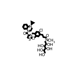 CN(C[C@H](O)[C@@H](O)[C@@H](O)[C@H](O)CO)C(=O)CCc1cc(Cl)c(CN2CSC[C@H]2C(=O)N2CCN(C3CC3)c3ccccc32)cc1Cl